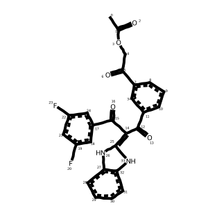 CC(=O)OCC(=O)c1cccc(C(=O)C(C(=O)c2cc(F)cc(F)c2)=C2Nc3ccccc3N2)c1